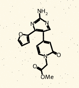 COC(=O)Cn1ccc(-c2cnc(N)nc2-c2ccco2)cc1=O